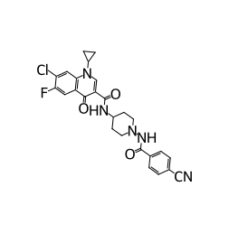 N#Cc1ccc(C(=O)NN2CCC(NC(=O)c3cn(C4CC4)c4cc(Cl)c(F)cc4c3=O)CC2)cc1